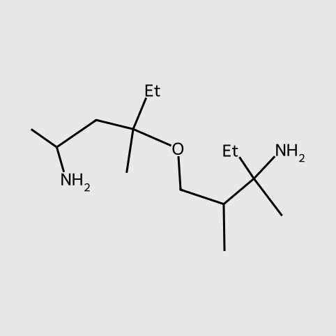 CCC(C)(CC(C)N)OCC(C)C(C)(N)CC